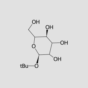 CC(C)(C)O[C@H]1OC(CO)[C@@H](O)C(O)C1O